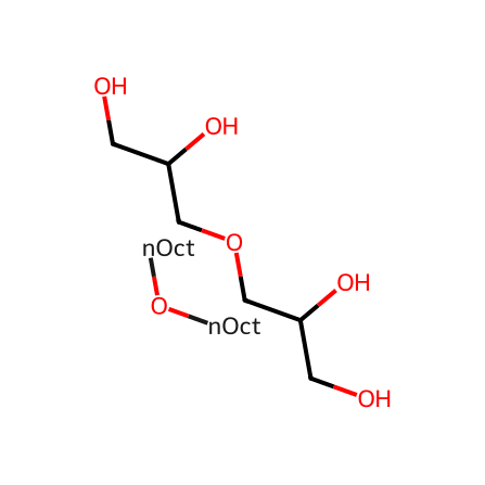 CCCCCCCCOCCCCCCCC.OCC(O)COCC(O)CO